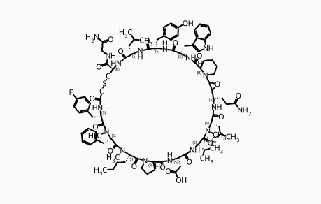 CCCC[C@H]1C(=O)N2CCC[C@@H]2C(=O)N[C@@H](CC(=O)O)C(=O)N[C@@H](C(C)C)C(=O)N(C)[C@@H](CC(C)C)C(=O)N[C@@H](CCC(N)=O)C2OC2N2CCCC[C@@H]2C(=O)N[C@@H](Cc2c[nH]c3ccccc23)C(=O)N[C@@H](Cc2ccc(O)cc2)C(=O)N[C@@H](CC(C)C)C(=O)N[C@H](C(=O)NCC(N)=O)CSCC(=O)N[C@@H](Cc2ccc(F)cc2)C(=O)N(C)[C@@H](Cc2ccccc2)C(=O)N1C